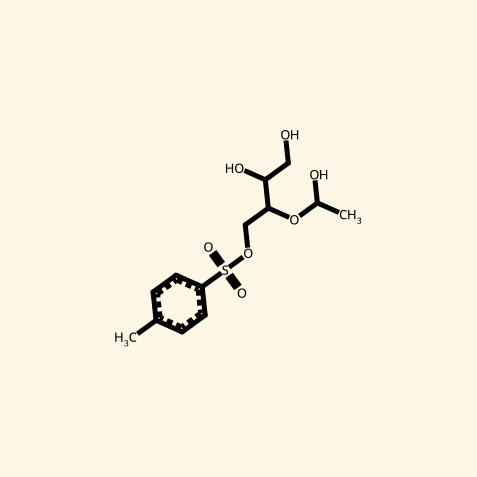 Cc1ccc(S(=O)(=O)OCC(OC(C)O)C(O)CO)cc1